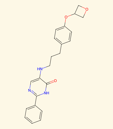 O=c1[nH]c(-c2ccccc2)ncc1NCCCc1ccc(OC2COC2)cc1